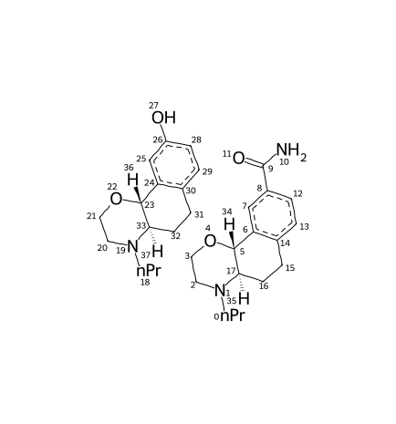 CCCN1CCO[C@@H]2c3cc(C(N)=O)ccc3CC[C@H]21.CCCN1CCO[C@@H]2c3cc(O)ccc3CC[C@H]21